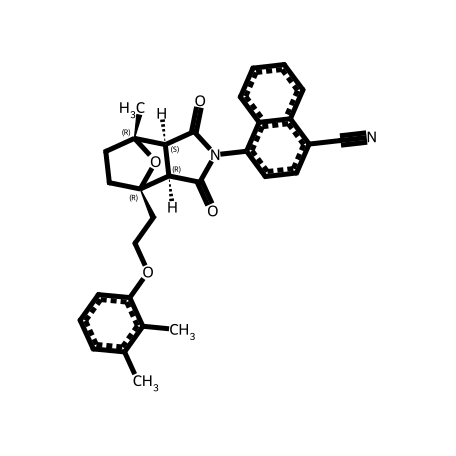 Cc1cccc(OCC[C@@]23CC[C@@](C)(O2)[C@H]2C(=O)N(c4ccc(C#N)c5ccccc45)C(=O)[C@H]23)c1C